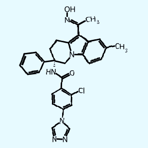 CC(=NO)c1c2n(c3ccc(C)cc13)C[C@@](NC(=O)c1ccc(-n3cnnc3)cc1Cl)(c1ccccc1)CC2